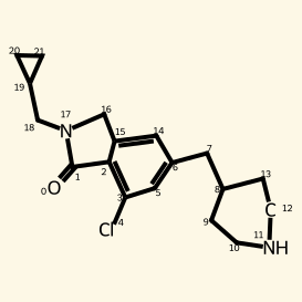 O=C1c2c(Cl)cc(CC3CCNCC3)cc2CN1CC1CC1